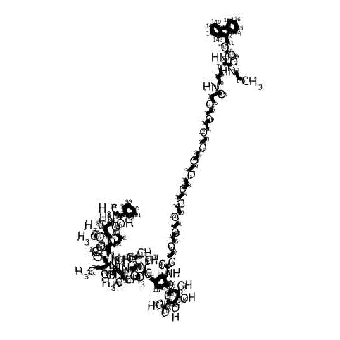 CCCNC(=O)[C@H](CCCCNC(=O)CCOCCOCCOCCOCCOCCOCCOCCOCCOCCOCCOCCOC(=O)Nc1cc(COC(=O)N(C)[C@H](C(=O)N[C@H](C(=O)N(C)[C@@H]([C@@H](C)CC)[C@@H](CC(=O)N2CCC[C@H]2[C@H](OC)[C@@H](C)C(=O)N[C@H](C)[C@@H](O)c2ccccc2)OC)C(C)C)C(C)C)ccc1O[C@@H]1O[C@H](C(=O)O)[C@@H](O)[C@H](O)[C@H]1O)NC(=O)OCC1c2ccccc2-c2ccccc21